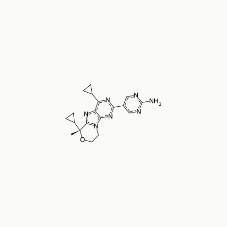 C[C@]1(C2CC2)OCCn2c1nc1c(C3CC3)nc(-c3cnc(N)nc3)nc12